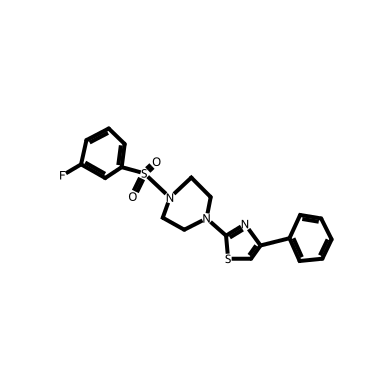 O=S(=O)(c1cccc(F)c1)N1CCN(c2nc(-c3ccccc3)cs2)CC1